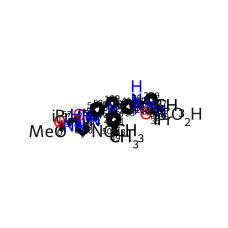 COC(=O)N[C@H](C(=O)N1CCC[C@H]1c1nc2cc([C@H]3CC[C@H](c4ccc5nc([C@@H]6CCCN6C(=O)[C@H](C(C)C)N(C)C(=O)O)[nH]c5c4)N3c3ccc(C(C)(C)C#N)cc3)ccc2[nH]1)C(C)C